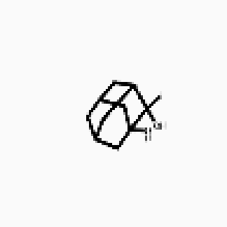 OC12CC3C[C](CC(C3)C1)C2(O)I